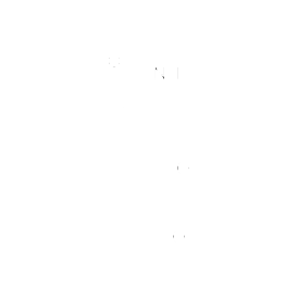 Nc1cc(OCC=O)ccc1C=O